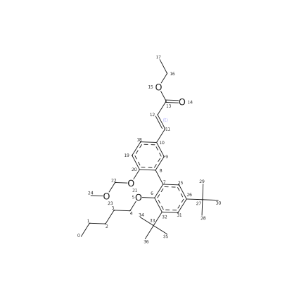 CCCCCOc1c(-c2cc(/C=C/C(=O)OCC)ccc2OCOC)cc(C(C)(C)C)cc1C(C)(C)C